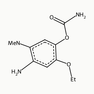 CCOc1cc(N)c(NC)cc1OC(N)=O